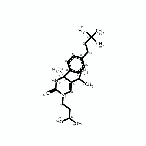 CC(C)C1=CN(CCC(O)O)C(=O)N[C@@]1(C)c1ccc(CCC(C)(C)C)cc1